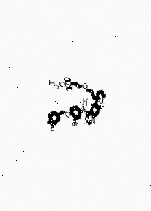 CS(=O)(=O)CCOCCCC1(c2cc3c(Nc4ccc(OCc5cccc(F)c5)c(Br)c4)ncnc3cc2F)CC=CO1